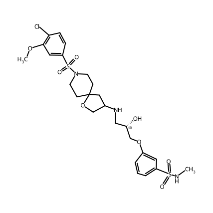 CNS(=O)(=O)c1cccc(OC[C@@H](O)CNC2COC3(CCN(S(=O)(=O)c4ccc(Cl)c(OC)c4)CC3)C2)c1